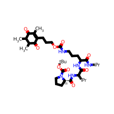 CC1=C(CCCOC(=O)NCCCC(NC(=O)C(NC(=O)[C@@H]2CCCN2C(=O)OC(C)(C)C)C(C)C)C(=O)NC(C)C)C(=O)C(C)C(C)C1=O